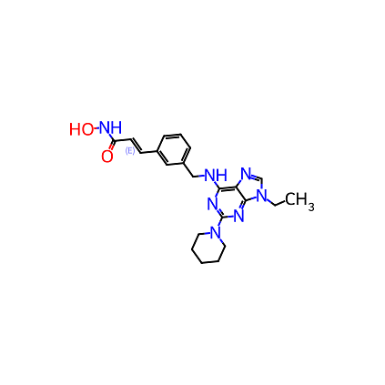 CCn1cnc2c(NCc3cccc(/C=C/C(=O)NO)c3)nc(N3CCCCC3)nc21